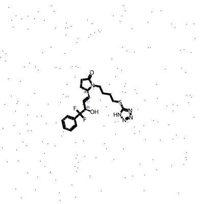 O=C1CC[C@H](/C=C/[C@@H](O)C(F)(F)c2ccccc2)N1CCCCSc1nnn[nH]1